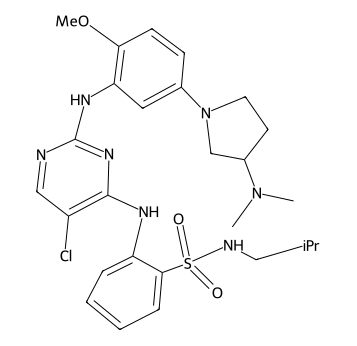 COc1ccc(N2CCC(N(C)C)C2)cc1Nc1ncc(Cl)c(Nc2ccccc2S(=O)(=O)NCC(C)C)n1